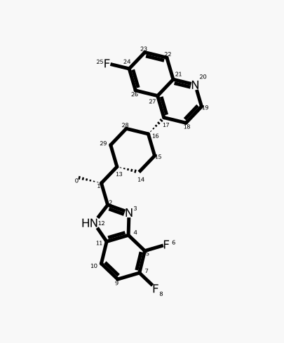 C[C@@H](c1nc2c(F)c(F)ccc2[nH]1)[C@H]1CC[C@@H](c2ccnc3ccc(F)cc32)CC1